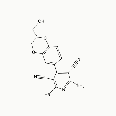 N#Cc1c(N)nc(S)c(C#N)c1-c1ccc2c(c1)OCC(CO)O2